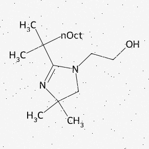 CCCCCCCCC(C)(C)C1=NC(C)(C)CN1CCO